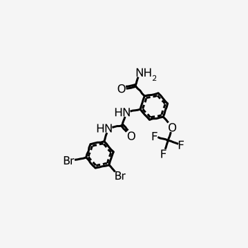 NC(=O)c1ccc(OC(F)(F)F)cc1NC(=O)Nc1cc(Br)cc(Br)c1